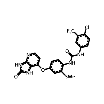 CSc1cc(Oc2ccnc3[nH]c(=O)[nH]c23)ccc1NC(=O)Nc1ccc(Cl)c(C(F)(F)F)c1